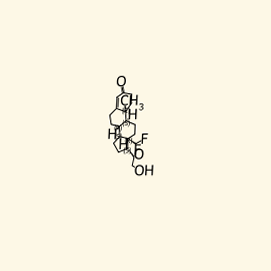 C[C@]12CCC(=O)C=C1CC[C@H]1[C@@H]3CC[C@H](C(=O)CO)[C@@]3(C(F)F)CC[C@@H]12